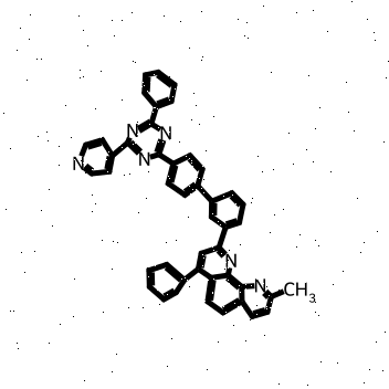 Cc1ccc2ccc3c(-c4ccccc4)cc(-c4cccc(-c5ccc(-c6nc(-c7ccccc7)nc(-c7ccncc7)n6)cc5)c4)nc3c2n1